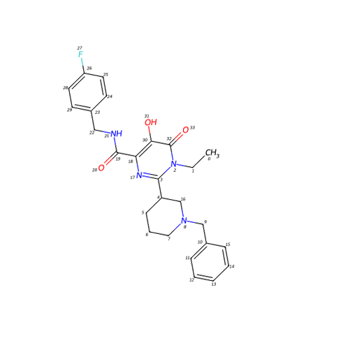 CCn1c(C2CCCN(Cc3ccccc3)C2)nc(C(=O)NCc2ccc(F)cc2)c(O)c1=O